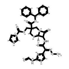 CON=C(C(=O)NC1C(=O)N2CC(COC(=O)n3ccnc3)(C(=O)OC(c3ccccc3)c3ccccc3)CS[C@H]12)c1csc(NC=O)n1